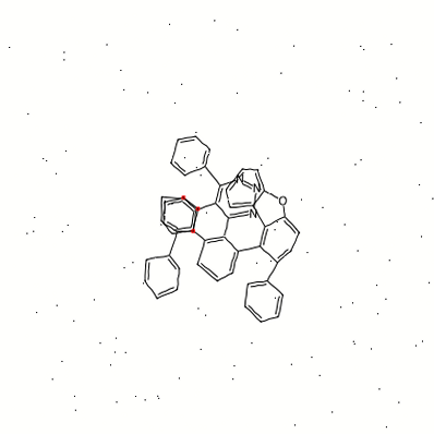 c1ccc(-c2ccccc2-c2cccc(-c3c(-c4ccccc4)ccc4oc5ccccc5c34)c2-c2nnnc(-c3ccccc3)c2-c2ccccc2)cc1